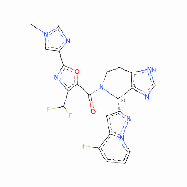 Cn1cnc(-c2nc(C(F)F)c(C(=O)N3CCc4[nH]cnc4[C@@H]3c3cc4c(F)cccn4n3)o2)c1